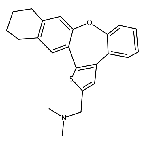 CN(C)Cc1cc2c(s1)-c1cc3c(cc1Oc1ccccc1-2)CCCC3